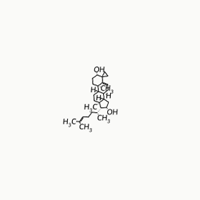 CC(C)=CCC[C@@H](C)[C@H]1[C@@H](O)C[C@H]2[C@@H]3CC=C4C5(CC5)[C@@H](O)CC[C@]4(C)[C@H]3CC[C@]12C